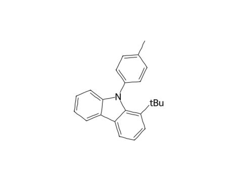 Cc1ccc(-n2c3ccccc3c3cccc(C(C)(C)C)c32)cc1